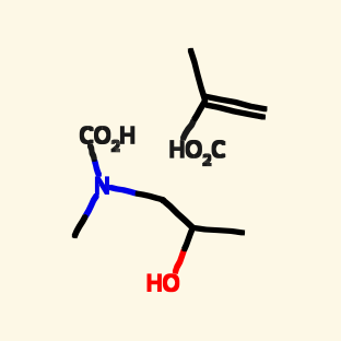 C=C(C)C(=O)O.CC(O)CN(C)C(=O)O